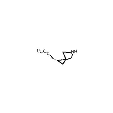 CCC[C@H]1CC12CNC2